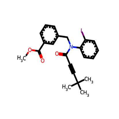 COC(=O)c1cccc(CN(C(=O)C#CC(C)(C)C)c2ccccc2I)c1